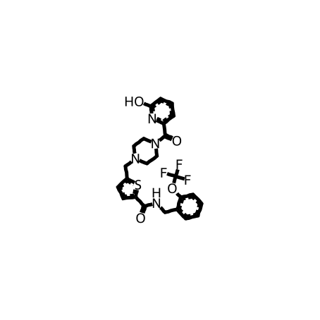 O=C(NCc1ccccc1OC(F)(F)F)c1ccc(CN2CCN(C(=O)c3cccc(O)n3)CC2)s1